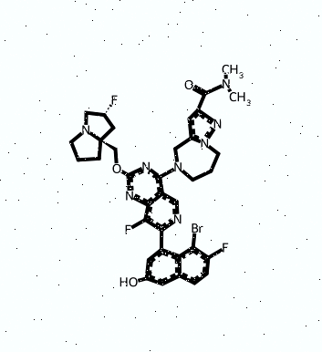 CN(C)C(=O)c1cc2n(n1)CCCN(c1nc(OC[C@@]34CCCN3C[C@H](F)C4)nc3c(F)c(-c4cc(O)cc5ccc(F)c(Br)c45)ncc13)C2